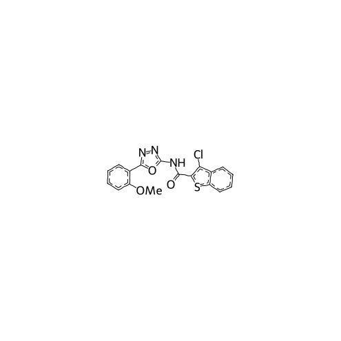 COc1ccccc1-c1nnc(NC(=O)c2sc3ccccc3c2Cl)o1